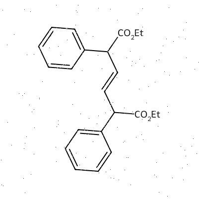 CCOC(=O)C(C=CC(C(=O)OCC)c1ccccc1)c1ccccc1